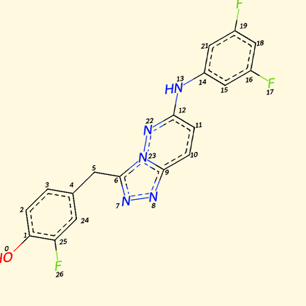 Oc1ccc(Cc2nnc3ccc(Nc4cc(F)cc(F)c4)nn23)cc1F